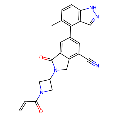 C=CC(=O)N1CC(N2Cc3c(C#N)cc(-c4c(C)ccc5[nH]ncc45)cc3C2=O)C1